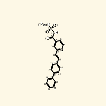 CCCCCS(=O)(=O)NC(=O)c1ccnc(/C=C/c2ccc(-c3ccccc3)cc2)c1